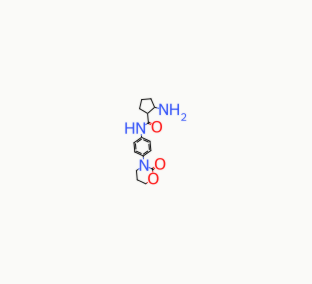 NC1CCCC1C(=O)Nc1ccc(N2CCCOC2=O)cc1